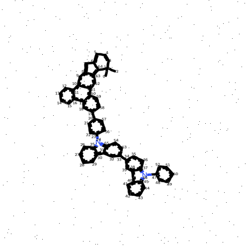 CC1(C)C=CC=C2C=c3cc4c5ccccc5c5cc(-c6ccc(-n7c8ccccc8c8cc(-c9ccc%10c(c9)c9ccccc9n%10-c9ccccc9)ccc87)cc6)ccc5c4cc3=C21